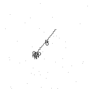 CCCCCCCCCCCCN(CCCCCCCCCCCn1c(=O)c2c(ncn2C)n(C)c1=O)C(C)=O